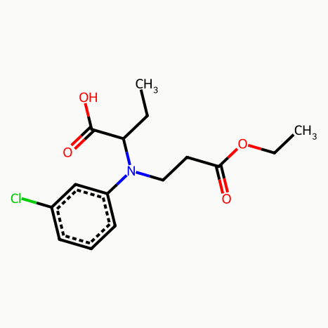 CCOC(=O)CCN(c1cccc(Cl)c1)C(CC)C(=O)O